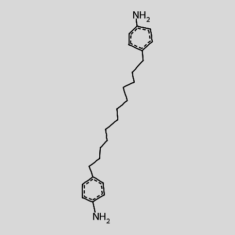 Nc1ccc(CCCCCCCCCCCCc2ccc(N)cc2)cc1